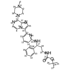 CN1CCN(c2nccn3c(-c4cccc(NC(CCNC(=O)OC(C)(C)C)c5ccccc5)n4)cnc23)CC1